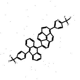 FC(F)(F)c1ccc(-c2c3ccccc3c(-c3ccc4ccc5c(-c6ccc(C(F)(F)F)nc6)ccc6ccc3c4c65)c3ccccc23)cc1